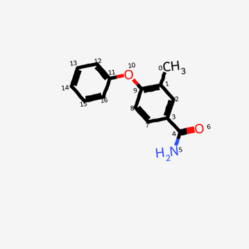 Cc1cc(C(N)=O)ccc1Oc1ccccc1